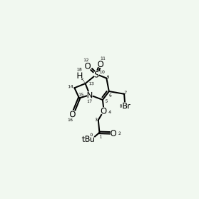 CC(C)(C)C(=O)COC1=C(CBr)CS(=O)(=O)[C@@H]2CC(=O)N12